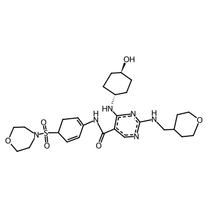 O=C(NC1=CCC(S(=O)(=O)N2CCOCC2)C=C1)c1cnc(NCC2CCOCC2)nc1N[C@H]1CC[C@H](O)CC1